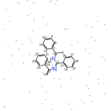 C=C(/N=C(\N=C(/C)c1ccccc1)c1ccccc1)c1ccccc1